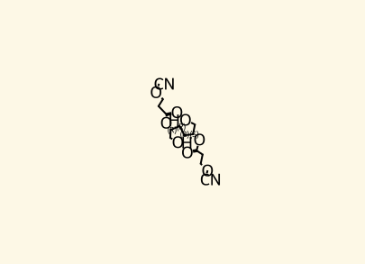 N#COCCC(=O)O[C@H]1CO[C@H]2[C@@H]1OC[C@H]2OC(=O)CCOC#N